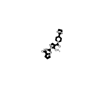 Cc1c(C(=O)N2CCC(c3nccs3)CC2)cnn1-c1nn2cccc2c(=O)[nH]1